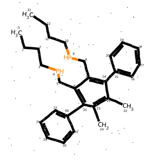 CCCCPCc1c(CPCCCC)c(-c2ccccc2)c(C)c(C)c1-c1ccccc1